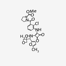 COC(=O)[C@@H]1CCCN1C(=O)c1cccc(Nc2c(NC(c3ccc(C)o3)C3(C)COC3)c(=O)c2=O)c1Cl